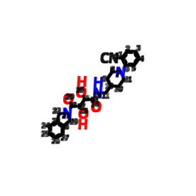 [C-]#[N+]c1ccccc1N1CCC(CNC(=O)[C@H](O)[C@@H](O)C(=O)N2Cc3ccccc3C2)CC1